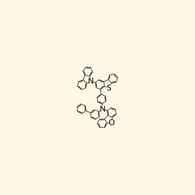 c1ccc(-c2cccc(N(c3ccc(-c4cc(-n5c6ccccc6c6ccccc65)cc5c4sc4ccccc45)cc3)c3cccc4oc5ccccc5c34)c2)cc1